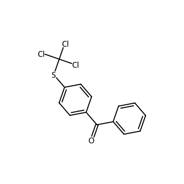 O=C(c1ccccc1)c1ccc(SC(Cl)(Cl)Cl)cc1